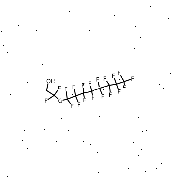 OCC(F)(F)OC(F)(F)C(F)(F)C(F)(F)C(F)(F)C(F)(F)C(F)(F)C(F)(F)C(F)(F)F